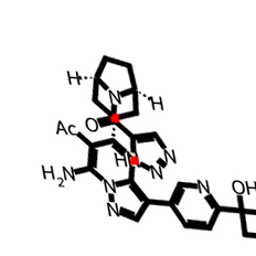 CC(=O)c1c([C@@H]2C[C@H]3CC[C@@H](C2)N3C(=O)c2cnn[nH]2)nc2c(-c3ccc(C4(O)CCC4)nc3)cnn2c1N